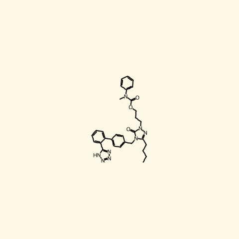 CCCCc1nn(CCCOC(=O)N(C)c2ccccc2)c(=O)n1Cc1ccc(-c2ccccc2-c2nnn[nH]2)cc1